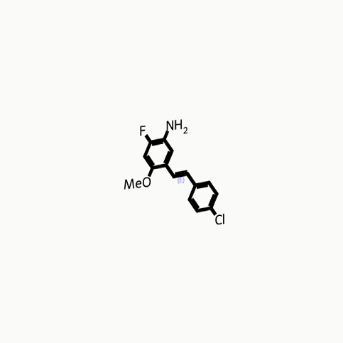 COc1cc(F)c(N)cc1/C=C/c1ccc(Cl)cc1